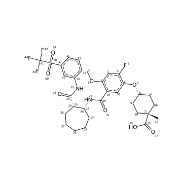 COc1cc(F)c(O[C@H]2CC[C@@](C)(C(=O)O)CC2)cc1C(=O)N[C@@H]1CCCCC[C@@H]1C(=O)Nc1cccc(S(=O)(=O)C(F)(F)F)c1